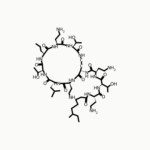 CCC[C@@H]1NC(=O)[C@H](C(C)O)NC(=O)[C@@H](CC(C)C)NC(=O)[C@H](CCN)NC(=O)[C@@H](NC(=O)[C@@H](CCN)NC(=O)[C@@H](NC(=O)[C@H](CCN)NC(=O)CCCCC(C)CC)C(C)O)CCNC(=O)[C@H](C(C)O)NC(=O)[C@H](CCN)NC1=O